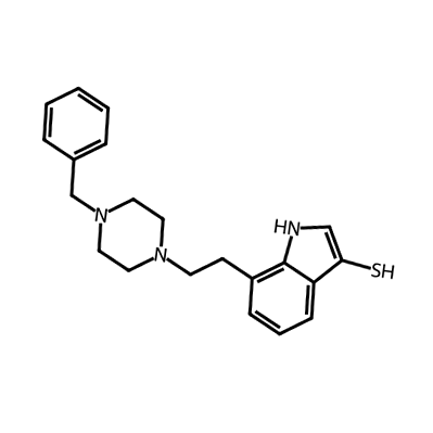 Sc1c[nH]c2c(CCN3CCN(Cc4ccccc4)CC3)cccc12